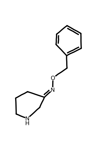 c1ccc(CON=C2CCCNC2)cc1